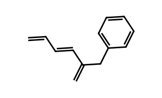 C=CC=CC(=C)Cc1ccccc1